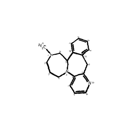 CN1CCCN2c3cccnc3Cc3ccccc3C2C1